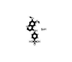 COc1cc2nccc(Nc3ccc(P(=O)(O)O)cc3)c2cc1OC.[NaH]